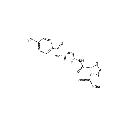 CNC(=O)c1nc[nH]c1C(=O)Nc1ccc(NC(=O)c2ccc(C(F)(F)F)cc2)cc1